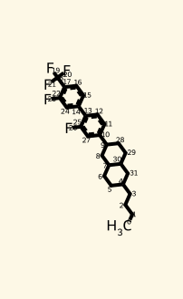 CCCCC1CCC2CC(c3ccc(-c4ccc(C(F)(F)F)c(F)c4)c(F)c3)CCC2C1